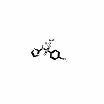 Nc1ccc(S(=O)(=O)Nc2nccs2)cc1.O.[NaH]